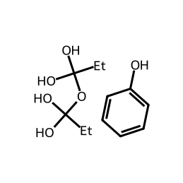 CCC(O)(O)OC(O)(O)CC.Oc1ccccc1